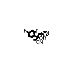 C[C@H](C#N)[C@@](O)(Cn1cncn1)c1ccc(F)cc1F